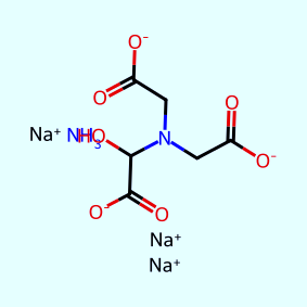 N.O=C([O-])CN(CC(=O)[O-])C(O)C(=O)[O-].[Na+].[Na+].[Na+]